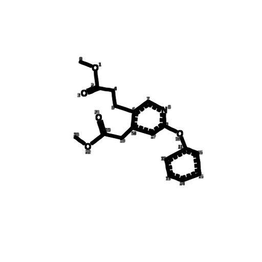 COC(=O)CCc1cnc(Oc2ccccc2)cc1CC(=O)OC